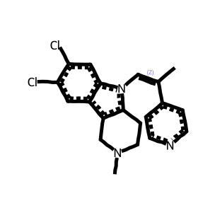 C/C(=C/n1c2c(c3cc(Cl)c(Cl)cc31)CN(C)CC2)c1ccncc1